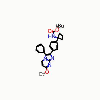 CCOc1ccn2c(-c3ccccc3)c(-c3ccc(C4(NC(=O)OC(C)(C)C)CCC4)cc3)nc2n1